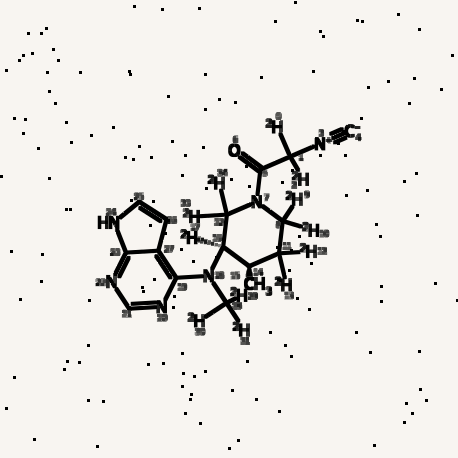 [2H]C([2H])([N+]#[C-])C(=O)N1C([2H])([2H])C([2H])([2H])[C@@H](C)[C@@]([2H])(N(c2ncnc3[nH]ccc23)C([2H])([2H])[2H])C1([2H])[2H]